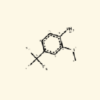 COc1cc(C(F)(F)F)ccc1P